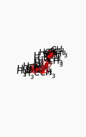 CC(CC(C)(C)[SiH2]O[SiH](O[Si](C)(C)C)O[Si](C)(C)C)OC(=O)C=CC(=O)OC(C)CC(C)(C)[SiH2]O[SiH](O[Si](C)(C)C)O[Si](C)(C)C